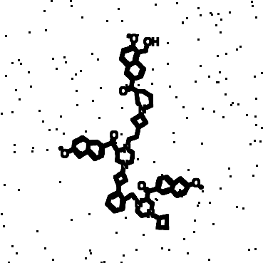 COc1ccc2cc(C(=O)C3CN(C4CC(c5ccccc5CN5CCN(C6CCC6)CC5C(=O)c5ccc6cc(OC)ccc6c5)C4)CCN3CCC3CC(N4CCCC(C(=O)c5ccc6c(CO)c(OC)ccc6c5)C4)C3)ccc2c1